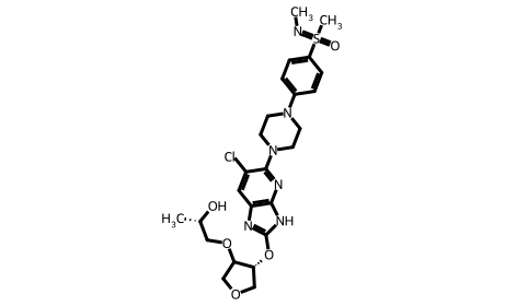 CN=S(C)(=O)c1ccc(N2CCN(c3nc4[nH]c(O[C@@H]5COCC5OC[C@H](C)O)nc4cc3Cl)CC2)cc1